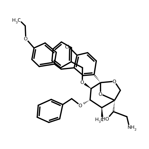 CCOc1ccc(Cc2cc([C@]34OC[C@](C(O)CN)(O3)[C@@H](C)[C@H](OCc3ccccc3)[C@H]4OCc3ccccc3)ccc2Cl)cc1